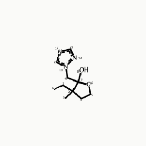 CCC1(C)CCOC1(O)Cn1cncn1